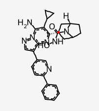 Nc1c(C2CC2)c([C@H]2CC3CC[C@@H](C2)N3C(=O)NO)nc2c(-c3ccc(-c4ccccc4)nc3)cnn12